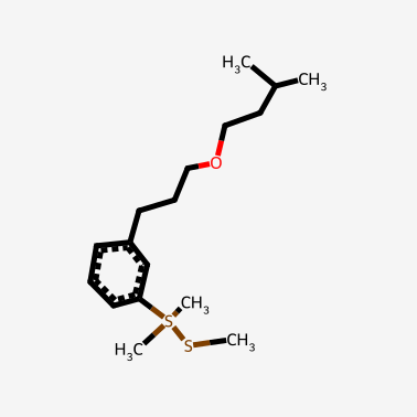 CSS(C)(C)c1cccc(CCCOCCC(C)C)c1